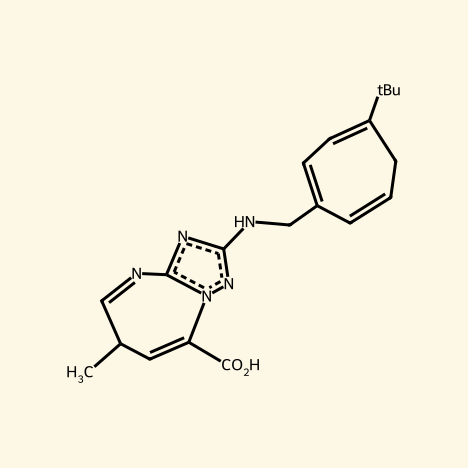 CC1C=Nc2nc(NCC3=CC=C(C(C)(C)C)CC=C3)nn2C(C(=O)O)=C1